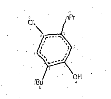 CCCc1cc(O)c(C(C)CC)cc1Cl